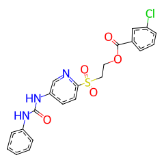 O=C(Nc1ccccc1)Nc1ccc(S(=O)(=O)CCOC(=O)c2cccc(Cl)c2)nc1